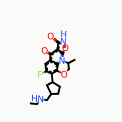 CCNCC1CCC(c2c(F)cc3c(=O)c4c(=O)[nH]oc4n4c3c2OCC4C)C1